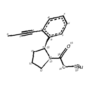 CC#Cc1ccccc1[C@@H]1CCCN1C(=O)OC(C)(C)C